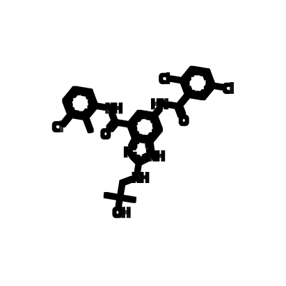 Cc1c(Cl)cccc1NC(=O)c1cc(NC(=O)c2cc(Cl)ccc2Cl)cc2[nH]c(NCC(C)(C)O)nc12